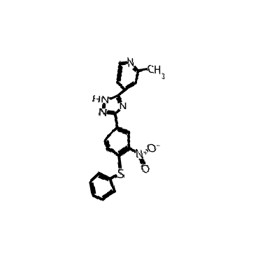 Cc1cc(-c2nc(-c3ccc(Sc4ccccc4)c([N+](=O)[O-])c3)n[nH]2)ccn1